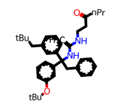 C=C(NCCC(=O)CCC)NC(Cc1ccccc1)(c1cccc(CC(C)(C)C)c1)c1cccc(OC(C)(C)C)c1